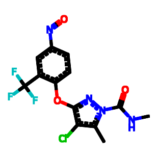 CNC(=O)n1nc(Oc2ccc(N=O)cc2C(F)(F)F)c(Cl)c1C